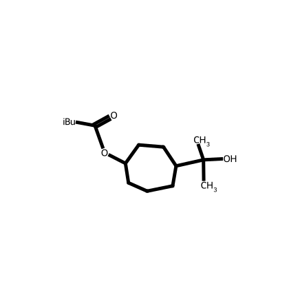 CCC(C)C(=O)OC1CCCC(C(C)(C)O)CC1